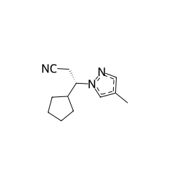 Cc1cnn([C@@H](CC#N)C2CCCC2)c1